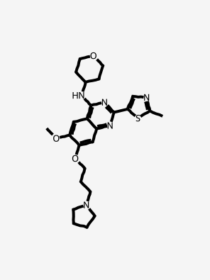 COc1cc2c(NC3CCOCC3)nc(-c3cnc(C)s3)nc2cc1OCCCN1CCCC1